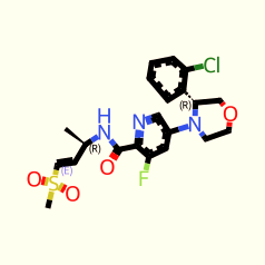 C[C@H](/C=C/S(C)(=O)=O)NC(=O)c1ncc(N2CCOC[C@H]2c2ccccc2Cl)cc1F